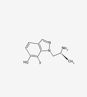 C[C@H](N)Cn1ncc2ccc(O)c(F)c21